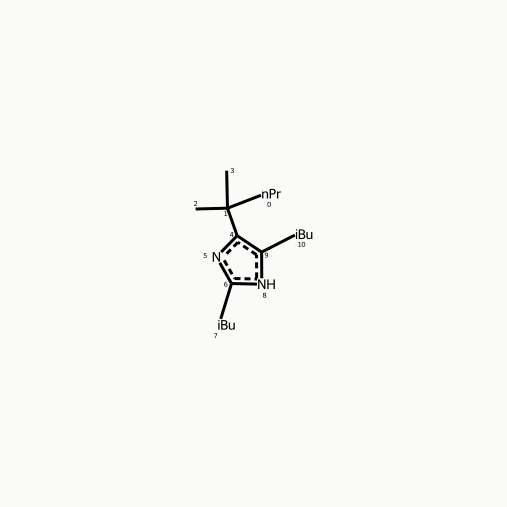 CCCC(C)(C)c1nc(C(C)CC)[nH]c1C(C)CC